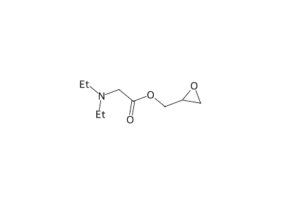 CCN(CC)CC(=O)OCC1CO1